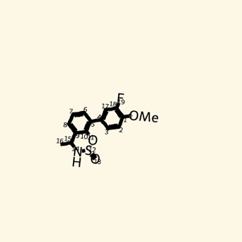 COc1ccc(-c2cccc3c2OS(=O)NC3C)cc1F